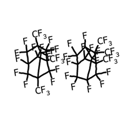 FC(F)(F)C12C(F)(F)C3(F)C(F)(F)C(C(F)(F)F)(C1(F)F)C(F)(F)C(C(F)(F)F)(C3(F)F)C2(F)F.FC(F)(F)C12C(F)(F)C3(F)C(F)(F)C(F)(C(F)(F)C(F)(C3(F)F)C1(C(F)(F)F)C(F)(F)F)C2(F)F